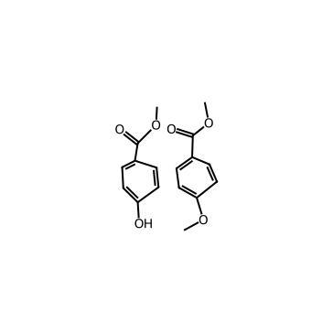 COC(=O)c1ccc(O)cc1.COC(=O)c1ccc(OC)cc1